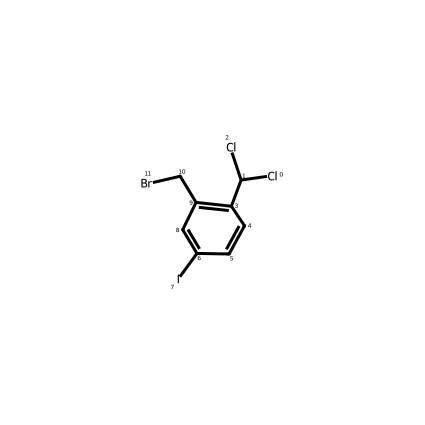 ClC(Cl)c1ccc(I)cc1CBr